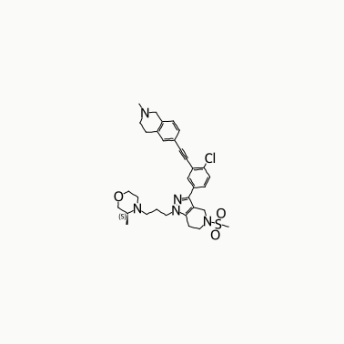 C[C@H]1COCCN1CCCn1nc(-c2ccc(Cl)c(C#Cc3ccc4c(c3)CCN(C)C4)c2)c2c1CCN(S(C)(=O)=O)C2